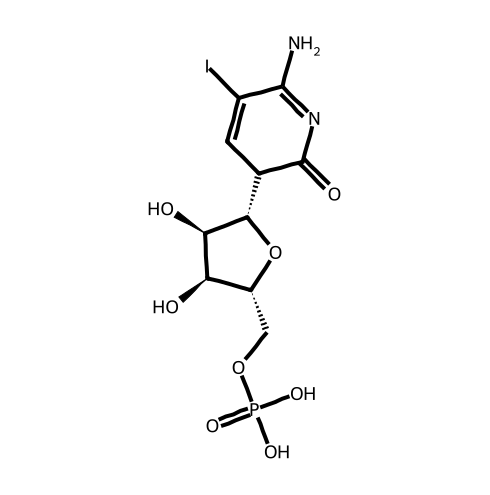 NC1=NC(=O)C([C@@H]2O[C@H](COP(=O)(O)O)[C@@H](O)[C@H]2O)C=C1I